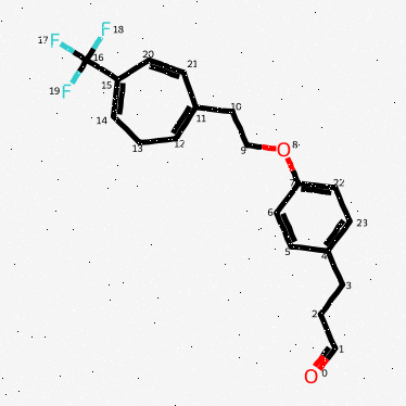 O=CCCc1ccc(OCCC2=CCC=C(C(F)(F)F)C=C2)cc1